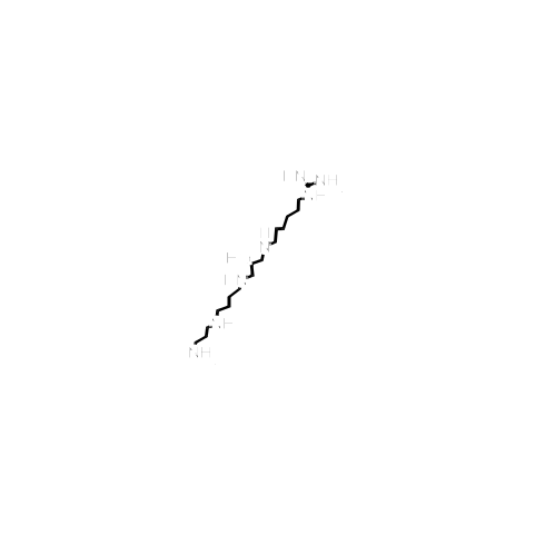 N=C(N)NCCCCCCNCC(O)CNCCCCNCCCN